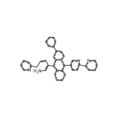 N/C=C(\C=C/Cc1ccccn1)c1c2ccccc2c(-c2ccc(-c3ccccn3)nc2)c2ccc(-c3ccccc3)cc12